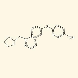 CC(C)(C)c1ccc(Oc2ccc3c(CC4CCCC4)nccc3c2)cc1